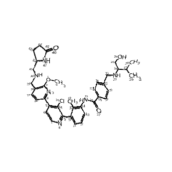 COc1nc(-c2ccnc(-c3cccc(NC(=O)c4ccc(CNC(CO)C(C)C)cn4)c3C)c2Cl)ccc1CNCC1CCC(=O)N1